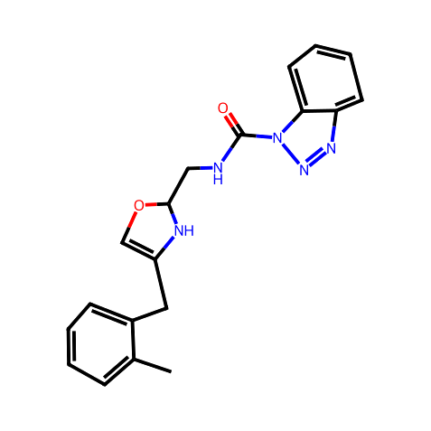 Cc1ccccc1CC1=COC(CNC(=O)n2nnc3ccccc32)N1